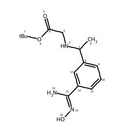 CC(NCC(=O)OC(C)(C)C)c1cccc(C(N)=NO)c1